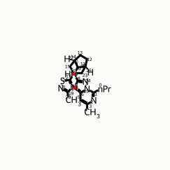 CCCc1nc(C)cc2nc(NC3[C@@H]4CC[C@H]3CN(c3nc(C)ns3)C4)nn12